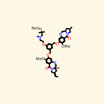 C/C=C1\C[C@H]2C=Nc3cc(OCc4cc(COc5cc6c(cc5OC)C(=O)N5CC(C)CC5C=N6)cc(OCCN(C)CC(C)(C)SSC)c4)c(OC)cc3C(=O)N2C1